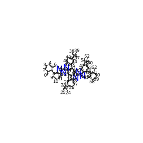 Cc1cccc(C)c1-c1cccc2c1nc1n2c2c3c4cc(C(C)(C)C)ccc4n4c3c(c3c5cc(C(C)(C)C)ccc5n1c32)n1c2cc(C(C)(C)C)cc(-c3c(C)cccc3C)c2nc14